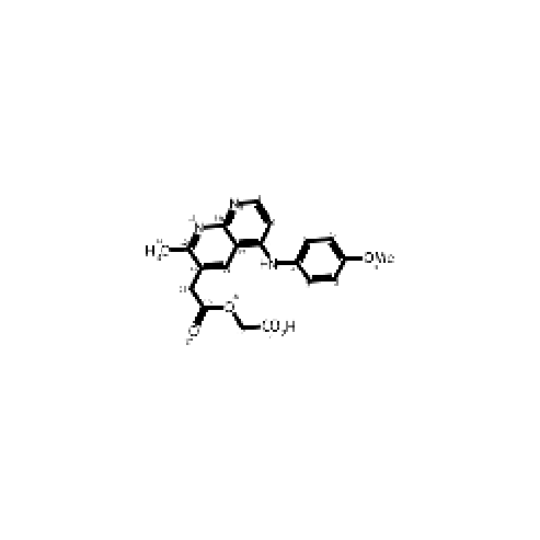 COc1ccc(Nc2ccnc3nc(C)c(CC(=O)OCC(=O)O)cc23)cc1